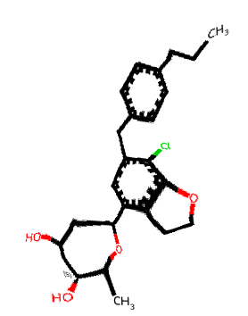 CCCc1ccc(Cc2cc(C3CC(O)[C@H](O)C(C)O3)c3c(c2Cl)OCC3)cc1